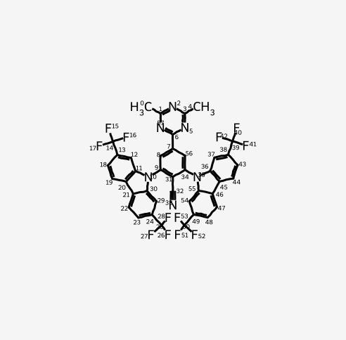 Cc1nc(C)nc(-c2cc(-n3c4cc(C(F)(F)F)ccc4c4ccc(C(F)(F)F)cc43)c(C#N)c(-n3c4cc(C(F)(F)F)ccc4c4ccc(C(F)(F)F)cc43)c2)n1